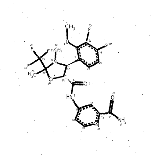 COc1c([C@H]2[C@H](C(=O)Nc3ccnc(C(N)=O)c3)OC(C)(C(F)(F)F)N2C)ccc(F)c1F